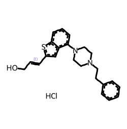 Cl.OC/C=C/c1cc2c(N3CCN(CCc4ccccc4)CC3)cccc2s1